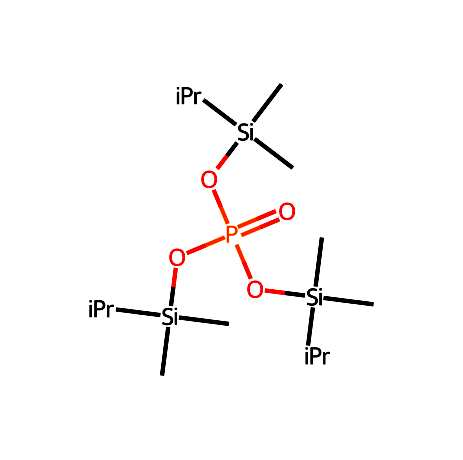 CC(C)[Si](C)(C)OP(=O)(O[Si](C)(C)C(C)C)O[Si](C)(C)C(C)C